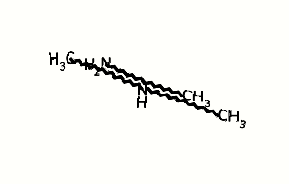 CCCCCCCCCCCCCCCCCCN.CCCCCCCCCCCCCCCCCNCCCCCCCCCCCCCCCCC